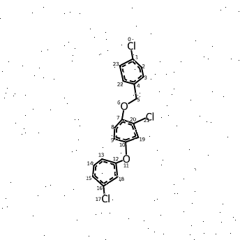 Clc1ccc(COc2ccc(Oc3cccc(Cl)c3)cc2Cl)cc1